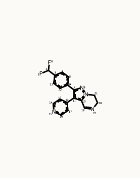 FC(F)c1ccc(-c2nn3c(c2-c2ccncc2)C=NCC3)cc1